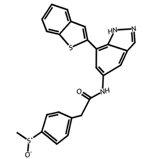 C[S+]([O-])c1ccc(CC(=O)Nc2cc(-c3cc4ccccc4s3)c3[nH]ncc3c2)cc1